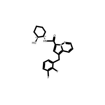 O=C(N[C@H]1CCCC[C@@H]1O)c1cc(Cc2cccc(F)c2F)c2cccnn12